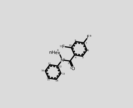 CCCCCCN(C(=O)c1ccc(F)cc1F)c1cc[c]cc1